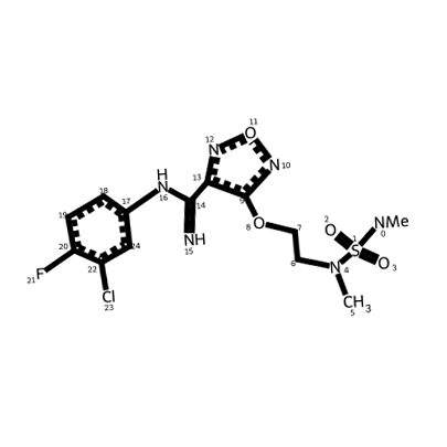 CNS(=O)(=O)N(C)CCOc1nonc1C(=N)Nc1ccc(F)c(Cl)c1